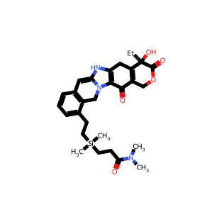 CCC1(O)C(=O)OCC2=C1CC1=C(C2=O)N2Cc3c(cccc3CC[Si](C)(C)CCC(=O)N(C)C)C=C2N1